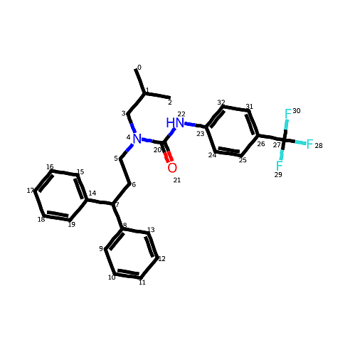 CC(C)CN(CCC(c1ccccc1)c1ccccc1)C(=O)Nc1ccc(C(F)(F)F)cc1